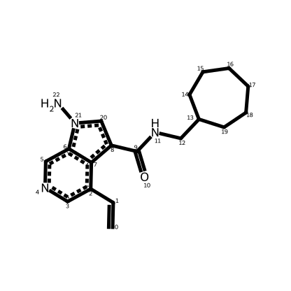 C=Cc1cncc2c1c(C(=O)NCC1CCCCCC1)cn2N